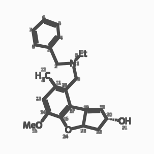 CCN(Cc1ccccc1)Cc1c(C)cc(OC)c2c1C1=C[C@H](O)CC1O2